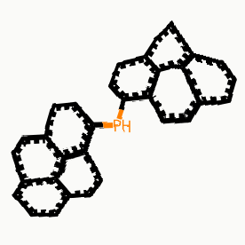 c1cc2ccc3ccc(Pc4ccc5ccc6cccc7ccc4c5c67)c4ccc(c1)c2c34